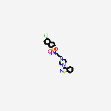 O=S(=O)(NCCCN1CCN(c2nsc3ccccc23)CC1)c1ccc2cc(Cl)ccc2c1